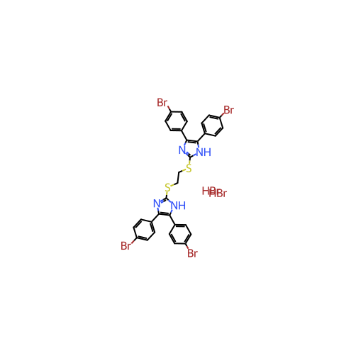 Br.Br.Brc1ccc(-c2nc(SCCSc3nc(-c4ccc(Br)cc4)c(-c4ccc(Br)cc4)[nH]3)[nH]c2-c2ccc(Br)cc2)cc1